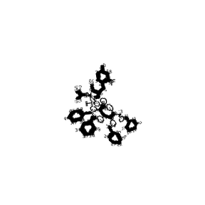 Cc1ccc(Cc2c(O[C@]3(O)O[C@H](COCc4ccccc4)[C@@H](OCc4ccccc4)[C@H](OCc4ccccc4)[C@H]3OCc3ccccc3)nn(C(C)C)c2C)c(F)c1